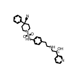 N#CC1(c2ccccc2)CCN(S(=O)(=O)Nc2ccc(CCNC[C@@H](O)c3cccnc3)cc2)CC1